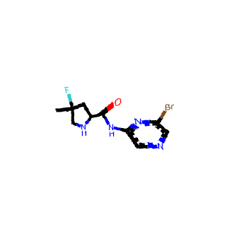 CC1(F)CNC(C(=O)Nc2cncc(Br)n2)C1